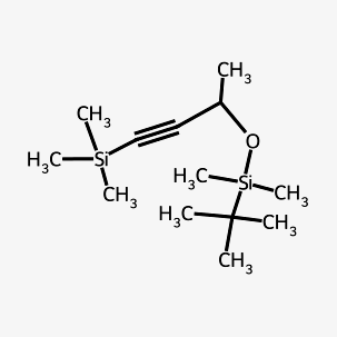 CC(C#C[Si](C)(C)C)O[Si](C)(C)C(C)(C)C